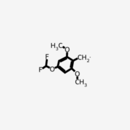 [CH2]c1c(OC)cc(OC(F)F)cc1OC